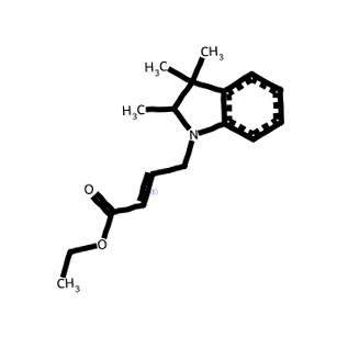 CCOC(=O)/C=C/CN1c2ccccc2C(C)(C)C1C